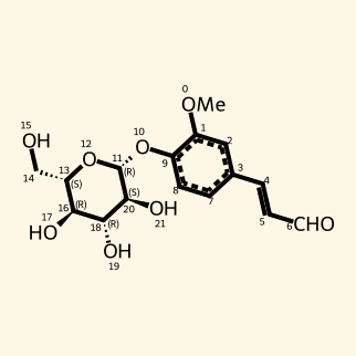 COc1cc(C=CC=O)ccc1O[C@H]1O[C@@H](CO)[C@H](O)[C@@H](O)[C@@H]1O